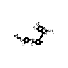 COc1cc2nc(N)nc(C#Cc3cc(C(=O)Nc4ccc(OCCN(C)C)c(Cl)c4)ccc3C)c2cc1OC